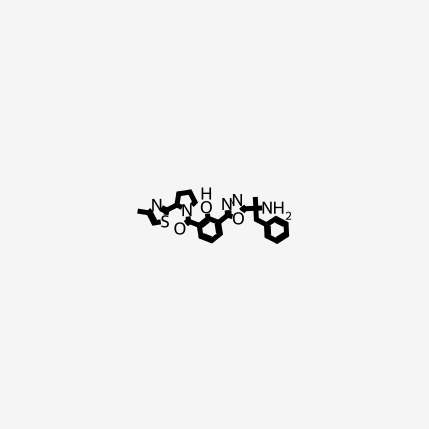 Cc1csc(C2CCCN2C(=O)c2cccc(-c3nnc(C(C)(N)Cc4ccccc4)o3)c2O)n1